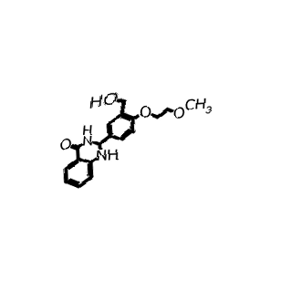 COCCOc1ccc(C2NC(=O)c3ccccc3N2)cc1CO